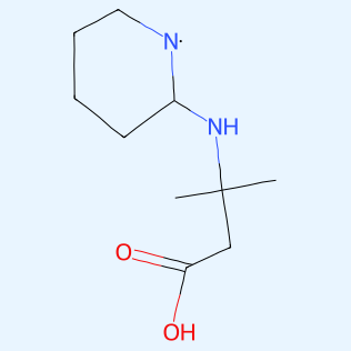 CC(C)(CC(=O)O)NC1CCCC[N]1